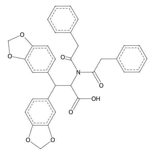 O=C(O)C(C(c1ccc2c(c1)OCO2)c1ccc2c(c1)OCO2)N(C(=O)Cc1ccccc1)C(=O)Cc1ccccc1